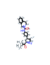 CC(C)C(=O)C1CC(c2ccc(NC(=O)N3CCc4ccccc4C3)cc2)=CCN1